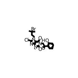 Cn1c(=O)n(CC(=O)c2ccccc2O)c(=O)c2c1nc(Cl)n2CCC(C)(C)Br